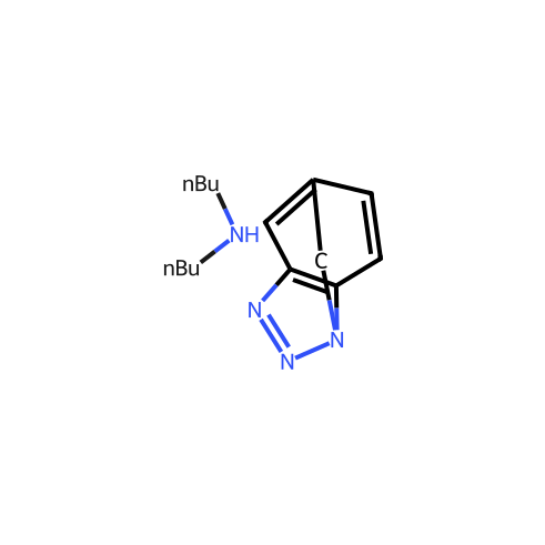 CCCCNCCCC.c1cc2c3cc1Cn2nn3